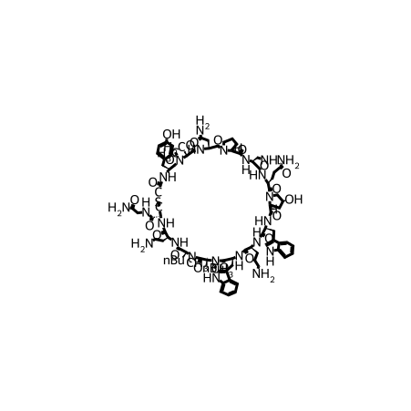 CCCC[C@H]1C(=O)N(C)[C@@H](CCCC)C(=O)N[C@@H](CCN)C(=O)N[C@H](C(=O)NCC(N)=O)CSCC(=O)N[C@@H](Cc2ccc(O)cc2)C(=O)N(C)[C@@H](C)C(=O)N[C@@H](CC(N)=O)C(=O)N2CCC[C@H]2C(=O)N[C@@H](CN)C(=O)N[C@@H](CCC(N)=O)C(=O)N2C[C@H](O)C[C@H]2C(=O)N[C@@H](Cc2c[nH]c3ccccc23)C(=O)N[C@@H](CCCN)C(=O)N[C@@H](Cc2c[nH]c3ccccc23)C(=O)N1C